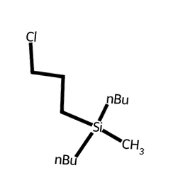 CCCC[Si](C)(CCCC)CCCCl